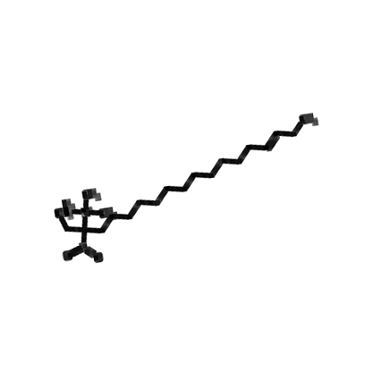 CCC=CCCCCCCCCCCCCC(CC)(P(=O)=O)[N+](C)(C)C